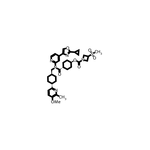 COc1ccc([C@H]2CC[C@H](CN(c3cc(-c4coc(C5CC5)n4)ccn3)C(=O)[C@H]3CC[C@H](OC(=O)N4CC(S(C)(=O)=O)C4)CC3)CC2)nc1C